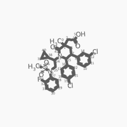 CC1(CC(=O)O)CC(c2cccc(Cl)c2)C(c2ccc(Cl)cc2)N(C(CN(c2ccccc2F)S(C)(=O)=O)C2CC2)C1=O